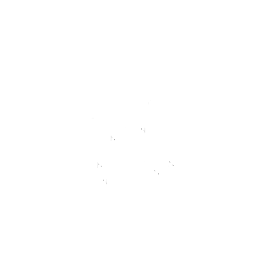 Fc1cccc(Cl)c1C1=Nc2cn[nH]c2-c2cnn3c2N1CC3